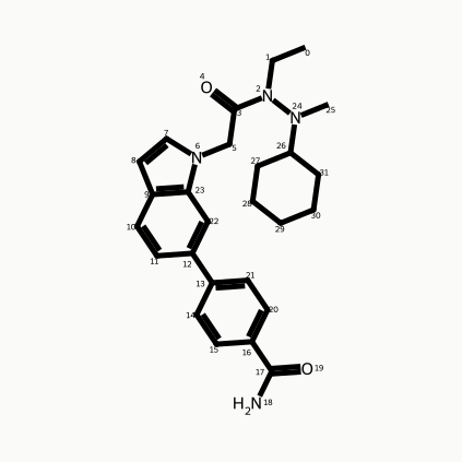 CCN(C(=O)Cn1ccc2ccc(-c3ccc(C(N)=O)cc3)cc21)N(C)C1CCCCC1